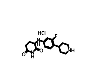 Cl.O=C1CCC(Nc2ccc(C3CCNCC3)c(F)c2)C(=O)N1